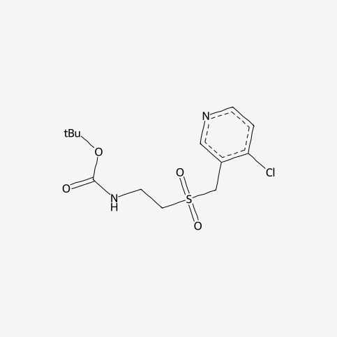 CC(C)(C)OC(=O)NCCS(=O)(=O)Cc1cnccc1Cl